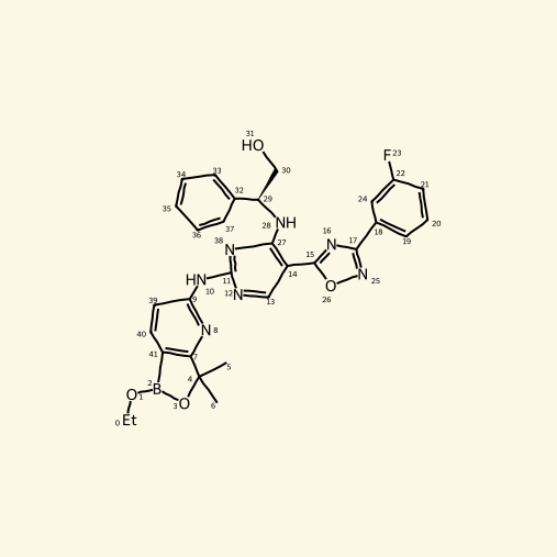 CCOB1OC(C)(C)c2nc(Nc3ncc(-c4nc(-c5cccc(F)c5)no4)c(N[C@H](CO)c4ccccc4)n3)ccc21